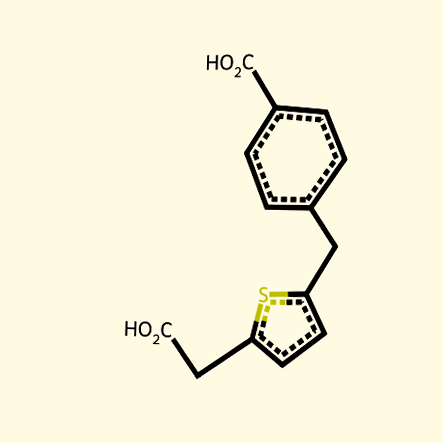 O=C(O)Cc1ccc(Cc2ccc(C(=O)O)cc2)s1